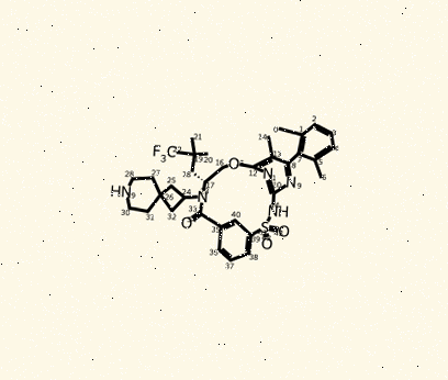 Cc1cccc(C)c1-c1nc2nc(c1C)OC[C@@H](CC(C)(C)C(F)(F)F)N(C1CC3(CCNCC3)C1)C(=O)c1cccc(c1)S(=O)(=O)N2